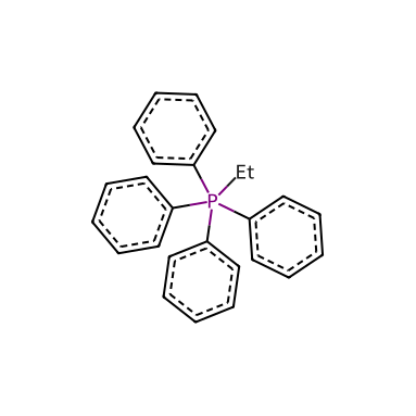 [CH2]CP(c1ccccc1)(c1ccccc1)(c1ccccc1)c1ccccc1